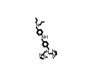 CCCN(CCC)Cc1ccc(NCc2ccc(CN(Cc3nccn3C)Cc3nccn3C)cc2)cc1